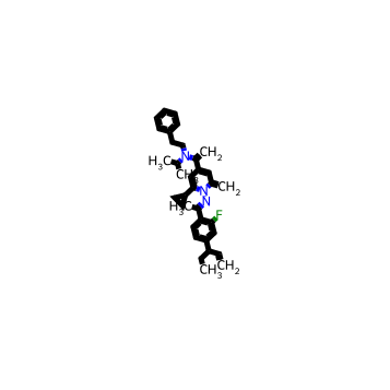 C=CC(CC)c1ccc(/C(C)=N/N2C(=C)C=C(C(=C)N(CCc3ccccc3)C(C)C)C=C2C2CC2)c(F)c1